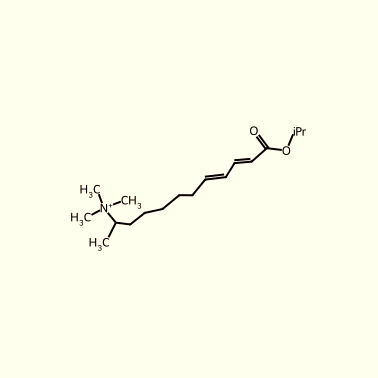 CC(C)OC(=O)C=CC=CCCCCCC(C)[N+](C)(C)C